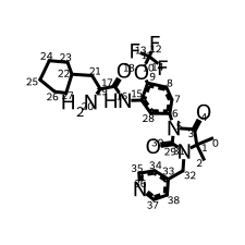 CC1(C)C(=O)N(c2ccc(OC(F)(F)F)c(NC(=O)C(N)CC3CCCCC3)c2)C(=O)N1Cc1ccncc1